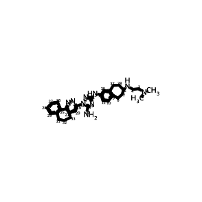 CN(C)CCNC1CCc2ccc(Nc3nc(N)n(-c4cc5c(nn4)-c4ccccc4CCC5)n3)cc2CC1